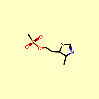 CC1N=CSC1CCOS(C)(=O)=O